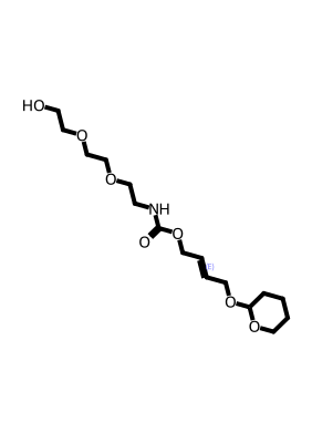 O=C(NCCOCCOCCO)OC/C=C/COC1CCCCO1